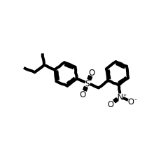 CCC(C)c1ccc(S(=O)(=O)Cc2ccccc2[N+](=O)[O-])cc1